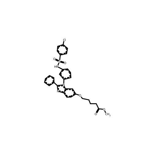 COC(=O)CCCCOc1ccc2nc(-c3ccccc3)n(-c3cccc(NS(=O)(=O)c4ccc(Cl)cc4)c3)c2c1